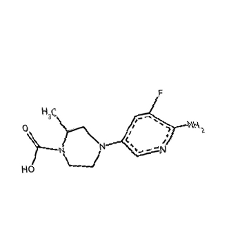 CC1CN(c2cnc(N)c(F)c2)CCN1C(=O)O